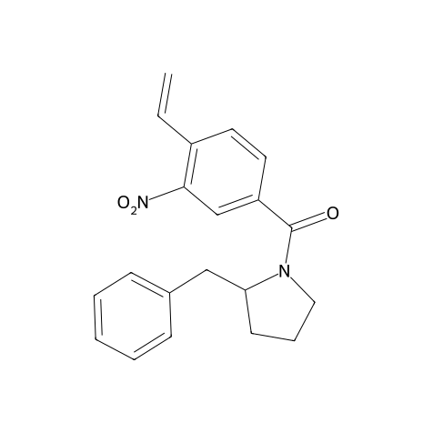 C=Cc1ccc(C(=O)N2CCCC2Cc2ccccc2)cc1[N+](=O)[O-]